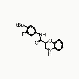 CC(C)(C)c1ccc(NC(=O)C2CNc3ccccc3O2)cc1F